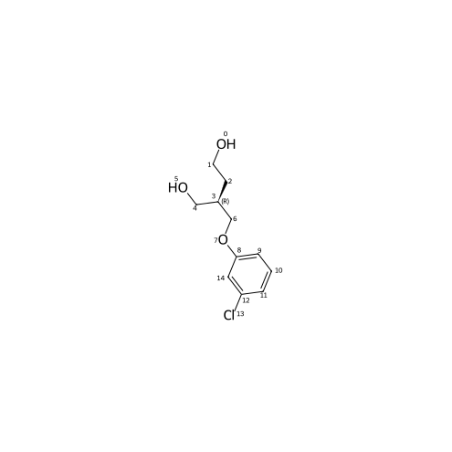 OCC[C@H](CO)COc1cccc(Cl)c1